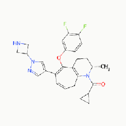 C[C@H]1CCC2=C(CC=CC(c3cnn(C4CNC4)c3)=C2Oc2ccc(F)c(F)c2)N1C(=O)C1CC1